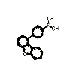 OB(O)c1ccc(-c2cccc3oc4ccccc4c23)cc1